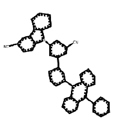 N#Cc1cc(-c2cccc(-c3c4ccccc4c(-c4ccccc4)c4ccccc34)c2)cc(-n2c3ccccc3c3cc(C#N)ccc32)c1